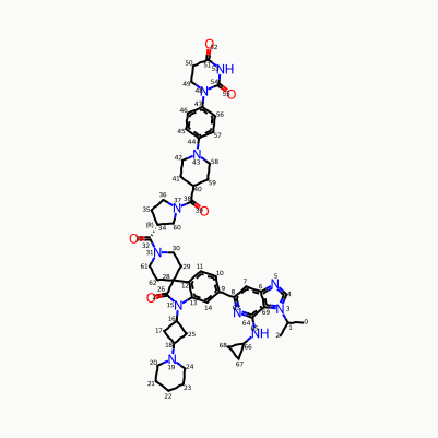 CC(C)n1cnc2cc(-c3ccc4c(c3)N(C3CC(N5CCCCC5)C3)C(=O)C43CCN(C(=O)[C@@H]4CCN(C(=O)C5CCN(c6ccc(N7CCC(=O)NC7=O)cc6)CC5)C4)CC3)nc(NC3CC3)c21